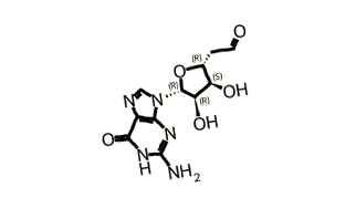 Nc1nc2c(ncn2[C@@H]2O[C@H](CC=O)[C@@H](O)[C@H]2O)c(=O)[nH]1